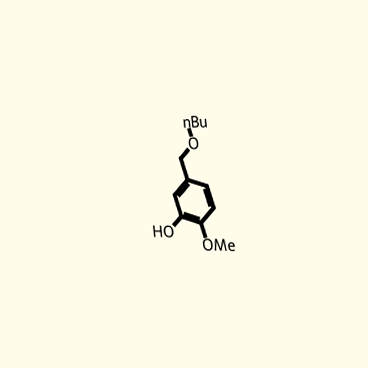 CCCCOCc1ccc(OC)c(O)c1